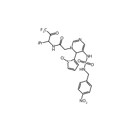 CC(C)C(NC(=O)CN1C=NC=C(NS(=O)(=O)NCc2ccc([N+](=O)[O-])cc2)C1c1ccc[s+]1[O-])C(=O)C(F)(F)F